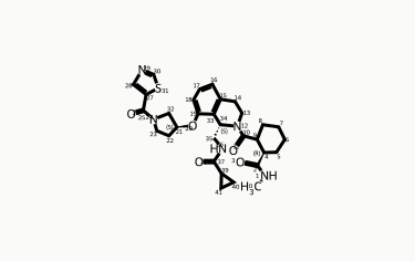 CNC(=O)[C@@H]1CCCCC1C(=O)N1CCc2cccc(O[C@H]3CCN(C(=O)c4cncs4)C3)c2[C@H]1CNC(=O)C1CC1